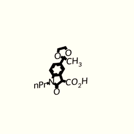 CCCN1C(=O)C(C(=O)O)c2cc(C3(C)OCCO3)ccc21